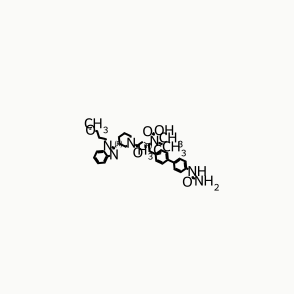 COCCCn1c([C@@H]2CCCN(C(=O)C[C@@H](Cc3ccc(-c4ccc(NC(N)=O)cc4)cc3)N(C(=O)O)C(C)(C)C)C2)nc2ccccc21